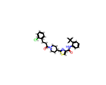 CC(C)(C)c1ccccc1NC(=O)c1csc(C2CCN(C(=O)CCc3ccccc3Cl)CC2)n1